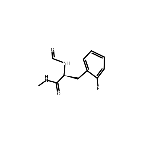 CNC(=O)[C@H](Cc1ccccc1F)NC=O